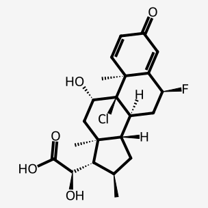 C[C@@H]1C[C@H]2[C@@H]3C[C@H](F)C4=CC(=O)C=C[C@]4(C)[C@@]3(Cl)[C@@H](O)C[C@]2(C)[C@H]1[C@@H](O)C(=O)O